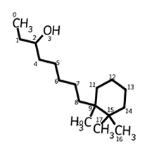 CCC(O)CCCCCC1(C)CCCCC1(C)C